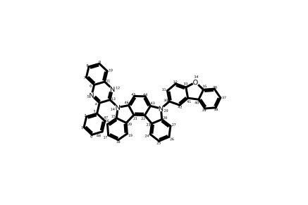 c1ccc(-c2nc3ccccc3nc2-n2c3ccccc3c3c4c5ccccc5n(-c5ccc6oc7ccccc7c6c5)c4ccc32)cc1